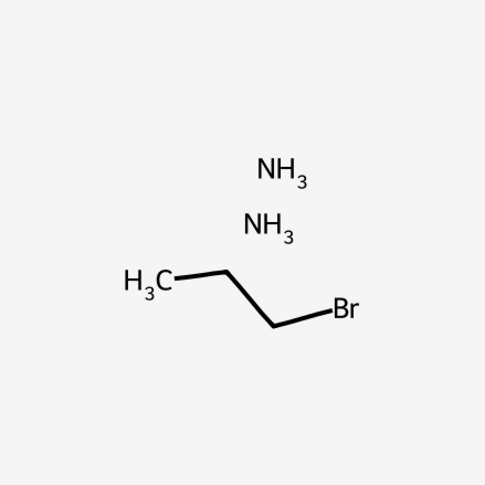 CCCBr.N.N